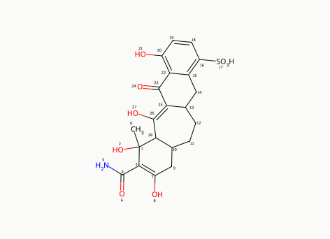 CC1(O)C(C(N)=O)=C(O)CC2CCC3Cc4c(S(=O)(=O)O)ccc(O)c4C(=O)C3=C(O)C21